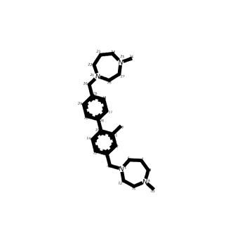 Cc1cc(CN2CCCN(C)CC2)ccc1-c1ccc(CN2CCCN(C)CC2)cc1